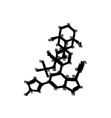 Cn1cc(-c2cc(-c3ccc(N4[C@@H]5CCC[C@H]4C[C@H](NC(=O)OC(C)(C)C)C5)nc3)c3c(C#N)cnn3c2)cn1